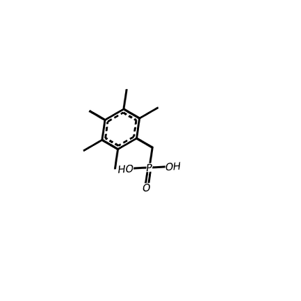 Cc1c(C)c(C)c(CP(=O)(O)O)c(C)c1C